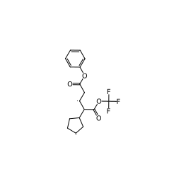 O=C(C[CH]C(C(=O)OC(F)(F)F)C1C[CH]CC1)Oc1ccccc1